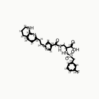 O=C(NCC(NS(=O)(=O)Cc1cccc(F)c1)C(=O)O)c1cnn(CCc2ccc3c(n2)NCCC3)c1